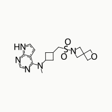 CN(c1ncnc2[nH]ccc12)C1CC(CS(=O)(=O)N2CC3(COC3)C2)C1